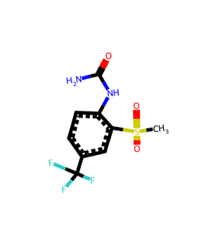 CS(=O)(=O)c1cc(C(F)(F)F)ccc1NC(N)=O